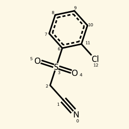 N#CCS(=O)(=O)c1ccccc1Cl